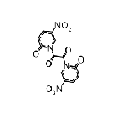 O=C(C(=O)n1cc([N+](=O)[O-])ccc1=O)n1cc([N+](=O)[O-])ccc1=O